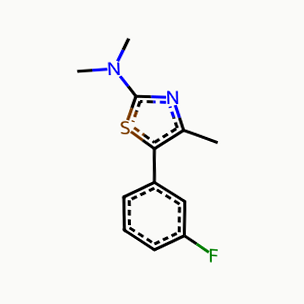 Cc1nc(N(C)C)sc1-c1cccc(F)c1